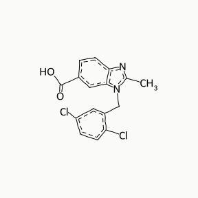 Cc1nc2ccc(C(=O)O)cc2n1Cc1cc(Cl)ccc1Cl